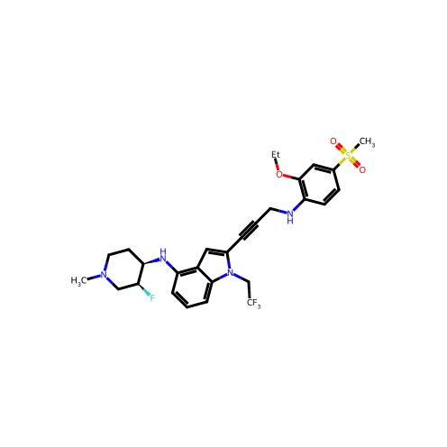 CCOc1cc(S(C)(=O)=O)ccc1NCC#Cc1cc2c(N[C@@H]3CCN(C)C[C@@H]3F)cccc2n1CC(F)(F)F